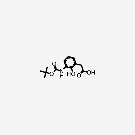 CC(C)(C)OC(=O)Nc1cccc(CC(=O)O)c1O